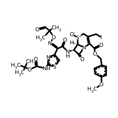 COc1ccc(COC(=O)C2=C(CI)C[S+]([O-])[C@@H]3[C@H](NC(=O)/C(=N\OC(C)(C)C=O)c4csc(NC(=O)OC(C)(C)C)n4)C(=O)N23)cc1